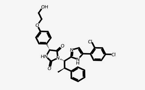 C[C@H](c1ccccc1)[C@@H](c1ncc(-c2ccc(Cl)cc2Cl)[nH]1)N1C(=O)N[C@H](c2ccc(OCCO)cc2)C1=O